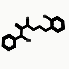 C=C(C(=O)OCCc1ccccc1Cl)C(O)c1cccnc1